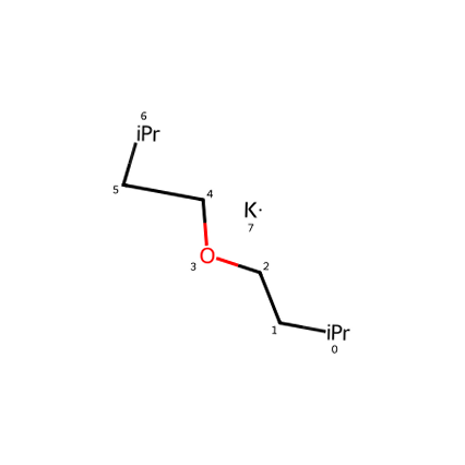 CC(C)CCOCCC(C)C.[K]